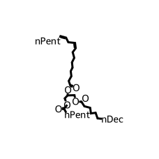 CCCCC/C=C\C/C=C\CCCCCCCC(=O)OC(COC(=O)CCCCC)COC(=O)CCCCCCCCCCCCCCC